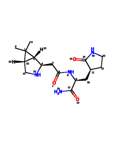 CC1(C)[C@@H]2[C@@H](CC(=O)N[C@@H](C[C@@H]3CCNC3=O)C(N)=O)NC[C@@H]21